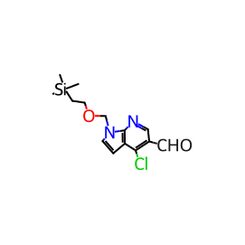 C[Si](C)(C)CCOCn1ccc2c(Cl)c(C=O)cnc21